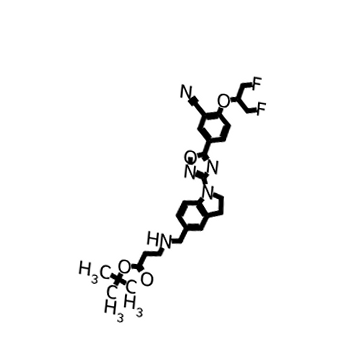 CC(C)(C)OC(=O)CCNCc1ccc2c(c1)CCN2c1noc(-c2ccc(OC(CF)CF)c(C#N)c2)n1